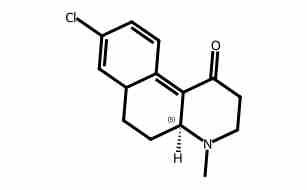 CN1CCC(=O)C2=C3C=CC(Cl)=CC3CC[C@@H]21